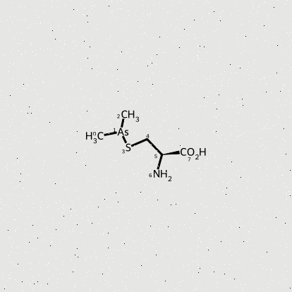 C[As](C)SC[C@H](N)C(=O)O